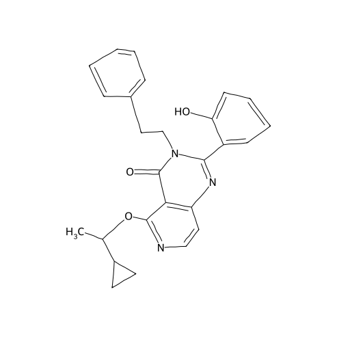 CC(Oc1nccc2nc(-c3ccccc3O)n(CCc3ccccc3)c(=O)c12)C1CC1